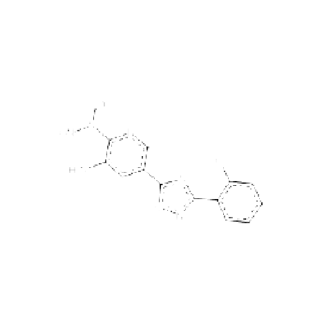 CC(C)N(N=O)c1ncc(-c2nc(-c3ccccc3Br)no2)cc1N